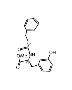 COC(=O)[C@H](Cc1cccc(O)c1)NC(=O)OCc1ccccc1